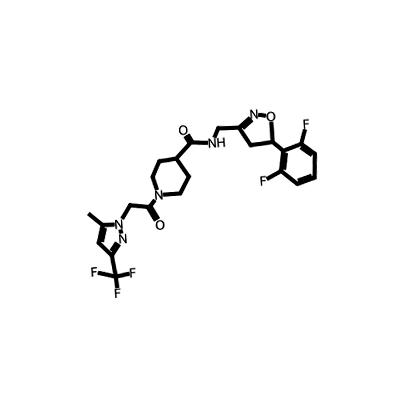 Cc1cc(C(F)(F)F)nn1CC(=O)N1CCC(C(=O)NCC2=NOC(c3c(F)cccc3F)C2)CC1